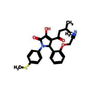 CSc1ccc(N2C(=O)C(O)=C(C(=O)CC(C)C)C2c2ccccc2OCC#N)cc1